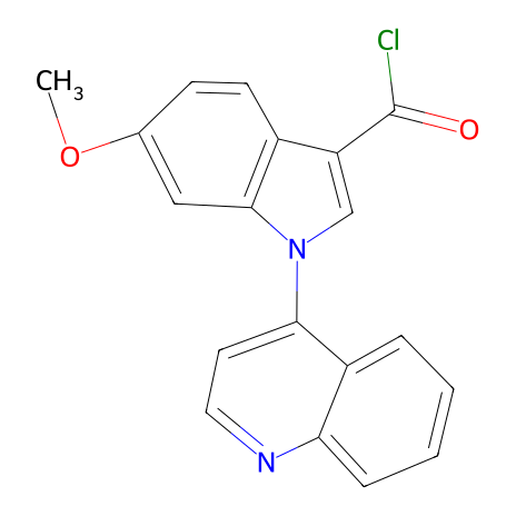 COc1ccc2c(C(=O)Cl)cn(-c3ccnc4ccccc34)c2c1